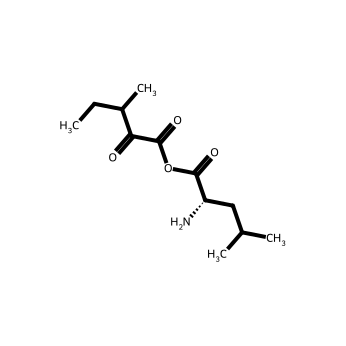 CCC(C)C(=O)C(=O)OC(=O)[C@@H](N)CC(C)C